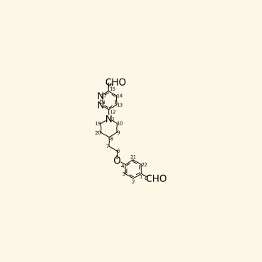 O=Cc1ccc(OCCC2CCN(c3ccc(C=O)nn3)CC2)cc1